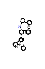 C1=C\c2ccc(-c3ccc4c(c3)c3cccnc3n4-c3ccccn3)cc2-c2ccccc2Oc2ccccc2-c2ccccc2/1